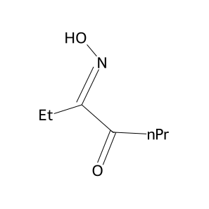 CCCC(=O)C(CC)=NO